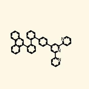 c1ccc(-c2cc(-c3ccc(-c4ccccc4-c4ccccc4-c4cc5ccccc5c5ccccc45)cc3)cc(-c3ccccn3)n2)nc1